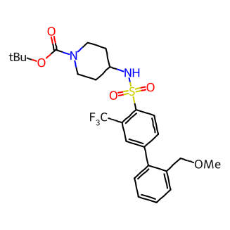 COCc1ccccc1-c1ccc(S(=O)(=O)NC2CCN(C(=O)OC(C)(C)C)CC2)c(C(F)(F)F)c1